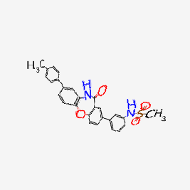 Cc1ccc(-c2ccc3c(c2)NC(=O)c2cc(-c4cccc(NS(C)(=O)=O)c4)ccc2O3)cc1